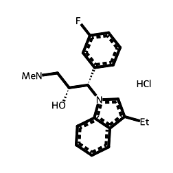 CCc1cn([C@@H](c2cccc(F)c2)[C@H](O)CNC)c2ccccc12.Cl